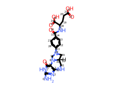 Nc1nc2c(c(=O)[nH]1)N1CN(c3ccc(C(=O)NC(CCC(=O)O)C(=O)O)cc3)C[C@@H]1CN2